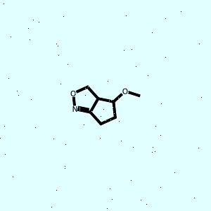 COC1CCC2=NOCC21